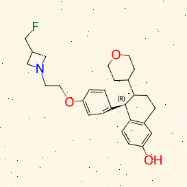 Oc1ccc2c(c1)CCC(C1CCOCC1)[C@@H]2c1ccc(OCCN2CC(CF)C2)cc1